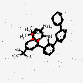 CC(C)(C)c1cc(-c2cccc(-c3cccc(-c4ccccc4)c3)c2Nc2ccccc2N)cc(C(C)(C)C)c1